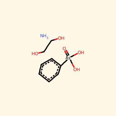 N.O=[As](O)(O)c1ccccc1.OCCO